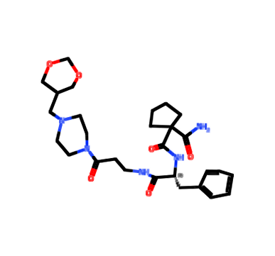 NC(=O)C1(C(=O)N[C@H](Cc2ccccc2)C(=O)NCCC(=O)N2CCN(CC3COCOC3)CC2)CCCC1